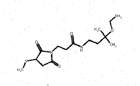 CSC1CC(=O)N(CCC(=O)NCCC(C)(C)OCN)C1=O